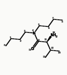 CCCCN(CCCC)C(=O)[C@@H](N)C(C)C